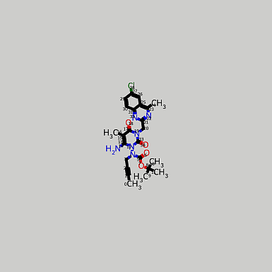 CC#CCN(C(=O)OC(C)(C)C)n1c(N)c(C)c(=O)n(Cc2nc(C)c3cc(Cl)ccc3n2)c1=O